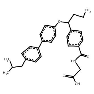 CCCC(Oc1ccc(-c2ccc(CC(C)C)cc2)cc1)c1ccc(C(=O)NCC(=O)O)cc1